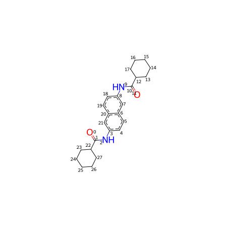 O=C(Nc1ccc2cc(NC(=O)C3CCCCC3)ccc2c1)C1CCCCC1